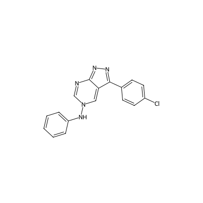 Clc1ccc(-c2nnc3ncn(Nc4ccccc4)cc2-3)cc1